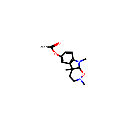 CNC(=O)Oc1ccc2c(c1)C1(C)CCN(C)OC1N2C